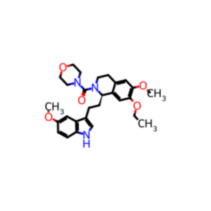 CCOc1cc2c(cc1OC)CCN(C(=O)N1CCOCC1)[C@@H]2CCc1c[nH]c2ccc(OC)cc12